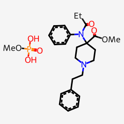 CCC(=O)N(c1ccccc1)C1(C(=O)OC)CCN(CCc2ccccc2)CC1.COP(=O)(O)O